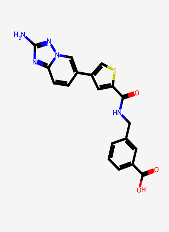 Nc1nc2ccc(-c3csc(C(=O)NCc4cccc(C(=O)O)c4)c3)cn2n1